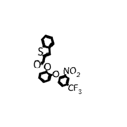 O=C(Oc1ccccc1Oc1ccc(C(F)(F)F)cc1[N+](=O)[O-])c1cc2ccccc2s1